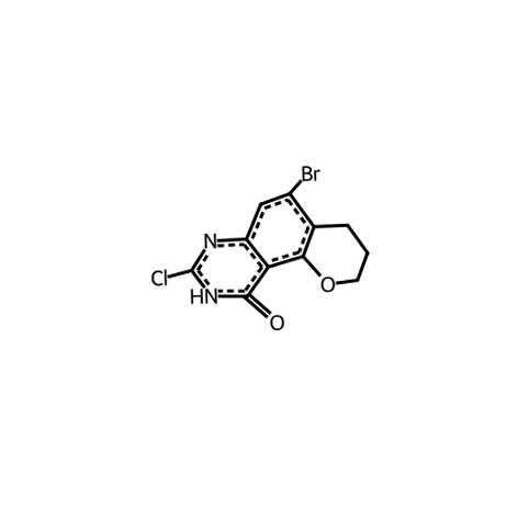 O=c1[nH]c(Cl)nc2cc(Br)c3c(c12)OCCC3